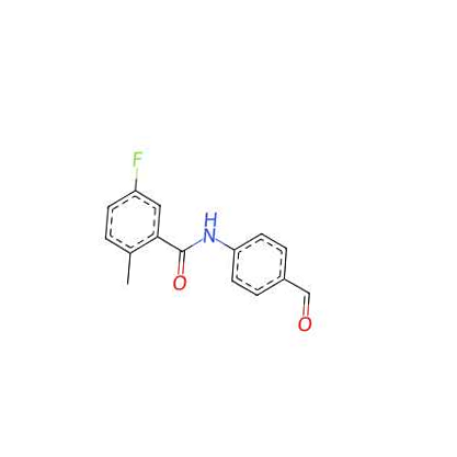 Cc1ccc(F)cc1C(=O)Nc1ccc(C=O)cc1